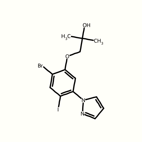 CC(C)(O)COc1cc(-n2cccn2)c(I)cc1Br